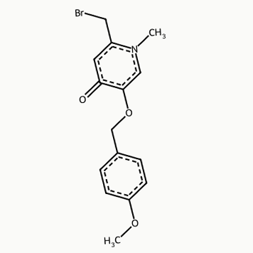 COc1ccc(COc2cn(C)c(CBr)cc2=O)cc1